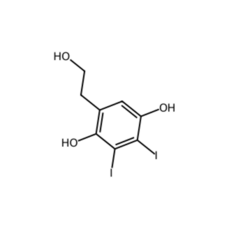 OCCc1cc(O)c(I)c(I)c1O